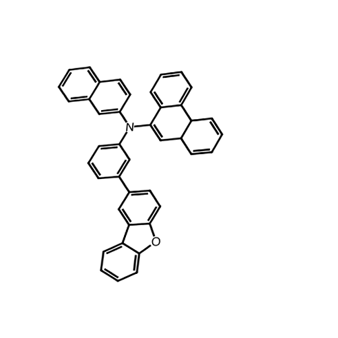 C1=CC2C=C(N(c3cccc(-c4ccc5oc6ccccc6c5c4)c3)c3ccc4ccccc4c3)c3ccccc3C2C=C1